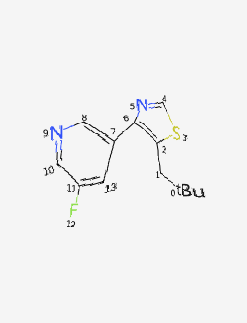 CC(C)(C)Cc1scnc1-c1cncc(F)c1